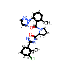 Cc1cccc(-n2nccn2)c1C(=O)N1CCCC1c1nc(-c2cccc(Cl)c2C)no1